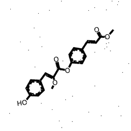 COC(=O)C=Cc1ccc(OC(=O)C(=Cc2ccc(O)cc2)OC)cc1